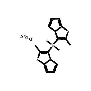 CC1=C([Si](C)(C)C2=C(C)SC3=CC=CC32)C2C=CC=C2S1.[Cl-].[Cl-].[Zr+2]